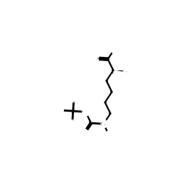 CN(CCCC[C@H](N)C(=O)O)C(=O)OC(C)(C)C.Cl